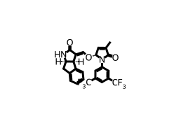 CC1=C[C@@H](O/C=C2/C(=O)N[C@@H]3Cc4ccccc4[C@H]23)N(c2cc(C(F)(F)F)cc(C(F)(F)F)c2)C1=O